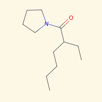 CCCCC(CC)C(=O)N1CCCC1